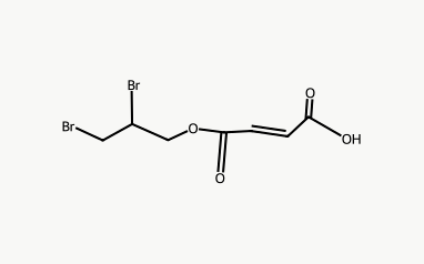 O=C(O)/C=C/C(=O)OCC(Br)CBr